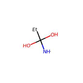 CCC([NH])(O)O